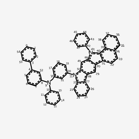 c1ccc(-c2cccc(N(c3ccccc3)c3cccc(-n4c5ccccc5c5cc6c7ccc8ccccc8c7n(-c7ccccc7)c6cc54)c3)c2)cc1